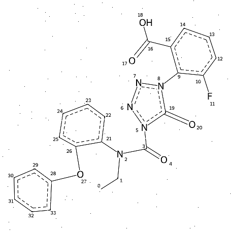 CCN(C(=O)n1nnn(-c2c(F)cccc2C(=O)O)c1=O)c1ccccc1Oc1ccccc1